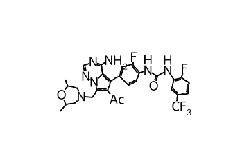 CC(=O)c1c(-c2ccc(NC(=O)Nc3cc(C(F)(F)F)ccc3F)c(F)c2)c2c(N)ncnn2c1CN1CC(C)OC(C)C1